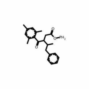 Cc1cc(C)c(C(=O)C(CC(=O)OP)C(C)Cc2ccccc2)c(C)c1